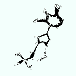 CCO[C@H]1C[C@H](n2ccc(=O)[nH]c2=O)O[C@@H]1/C=C/P(=O)(O)O